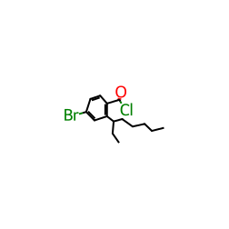 CCCCCC(CC)c1cc(Br)ccc1C(=O)Cl